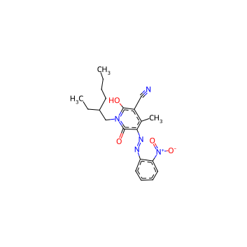 CCCCC(CC)Cn1c(O)c(C#N)c(C)c(N=Nc2ccccc2[N+](=O)[O-])c1=O